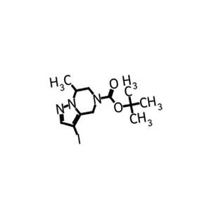 CC1CN(C(=O)OC(C)(C)C)Cc2c(I)cnn21